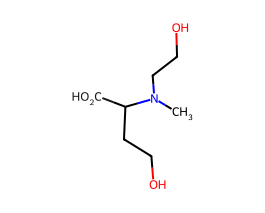 CN(CCO)C(CCO)C(=O)O